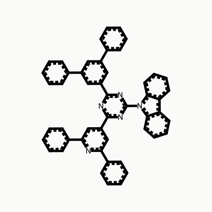 c1ccc(-c2cc(-c3ccccc3)cc(-c3nc(-c4cc(-c5ccccc5)nc(-c5ccccc5)c4)nc(-n4c5ccccc5c5ccccc54)n3)c2)cc1